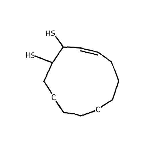 SC1C=CCCCCCCCCC1S